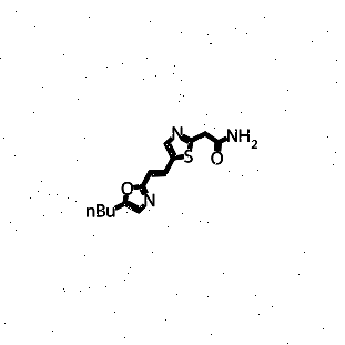 CCCCc1cnc(C=Cc2cnc(CC(N)=O)s2)o1